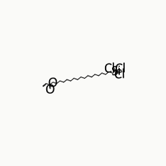 C=CC(=O)OCCCCCCCCCCCCCCCCC[Si](Cl)(Cl)Cl